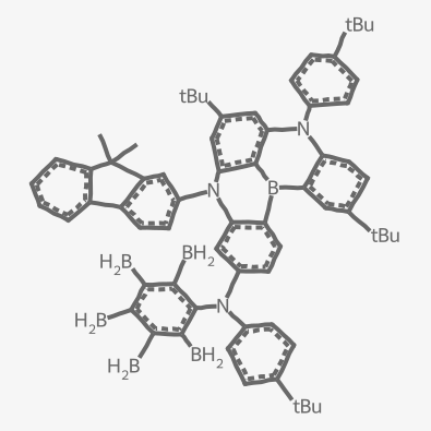 Bc1c(B)c(B)c(N(c2ccc(C(C)(C)C)cc2)c2ccc3c(c2)N(c2ccc4c(c2)C(C)(C)c2ccccc2-4)c2cc(C(C)(C)C)cc4c2B3c2cc(C(C)(C)C)ccc2N4c2ccc(C(C)(C)C)cc2)c(B)c1B